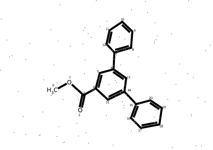 COC(=O)c1cc(-c2ccccc2)cc(-c2ccccc2)c1